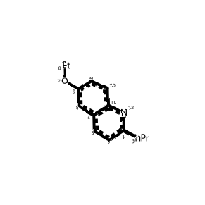 CCCc1ccc2cc(OCC)ccc2n1